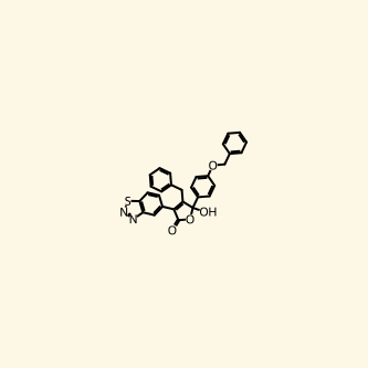 O=C1OC(O)(c2ccc(OCc3ccccc3)cc2)C(Cc2ccccc2)=C1c1ccc2snnc2c1